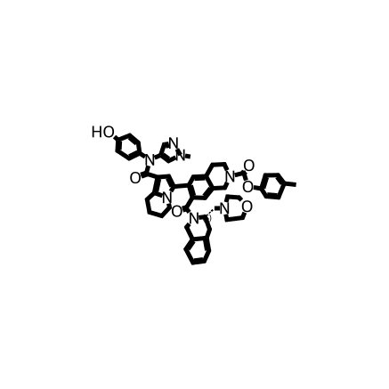 Cc1ccc(OC(=O)N2CCc3cc(-c4cc(C(=O)N(c5ccc(O)cc5)c5cnn(C)c5)c5n4CCCC5)c(C(=O)N4Cc5ccccc5C[C@H]4CN4CCOCC4)cc3C2)cc1